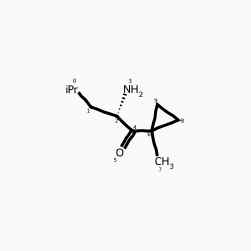 CC(C)C[C@H](N)C(=O)C1(C)CC1